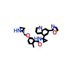 Cc1ccc(OC[C@@H]2CCN2)cc1C(=O)NC1(c2cc(-c3ncco3)cc3ncccc23)CC1